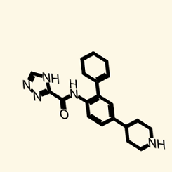 O=C(Nc1ccc(C2CCNCC2)cc1C1=CCCCC1)c1nnc[nH]1